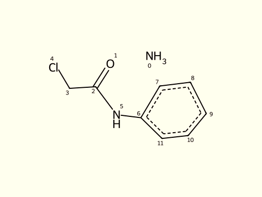 N.O=C(CCl)Nc1ccccc1